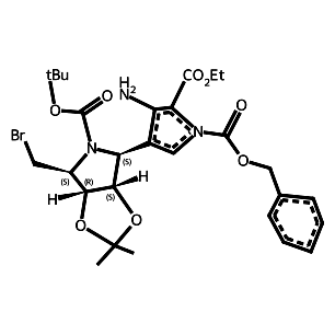 CCOC(=O)c1c(N)c([C@H]2[C@@H]3OC(C)(C)O[C@@H]3[C@@H](CBr)N2C(=O)OC(C)(C)C)cn1C(=O)OCc1ccccc1